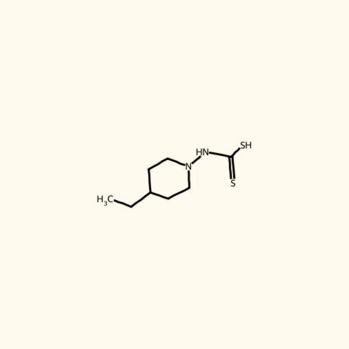 CCC1CCN(NC(=S)S)CC1